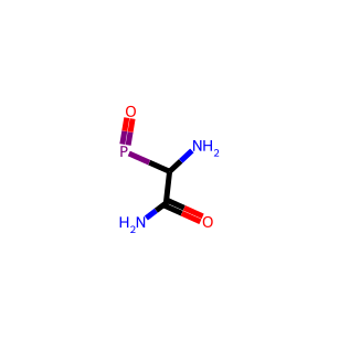 NC(=O)C(N)P=O